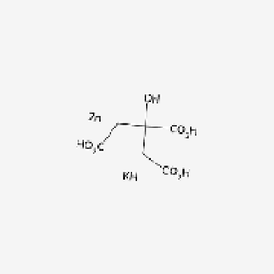 O=C(O)CC(O)(CC(=O)O)C(=O)O.[KH].[Zn]